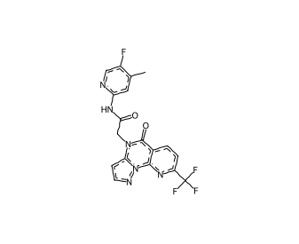 Cc1cc(NC(=O)Cn2c(=O)c3ccc(C(F)(F)F)nc3n3nccc23)ncc1F